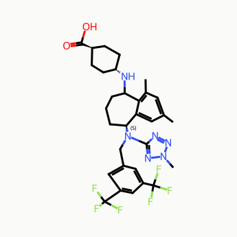 Cc1cc(C)c2c(c1)[C@@H](N(Cc1cc(C(F)(F)F)cc(C(F)(F)F)c1)c1nnn(C)n1)CCCC2N[C@H]1CC[C@H](C(=O)O)CC1